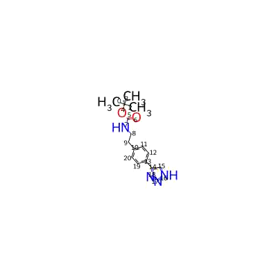 CC(C)(C)OC(=O)NCCc1ccc(-c2c[nH]nn2)cc1